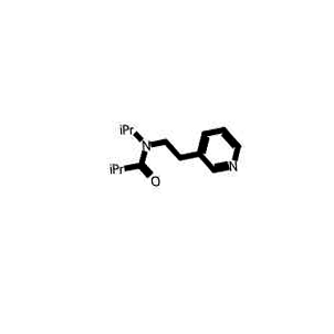 CC(C)C(=O)N(CCc1cccnc1)C(C)C